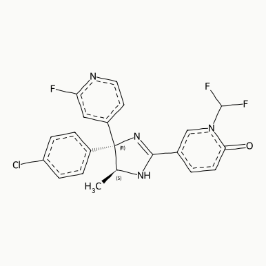 C[C@@H]1NC(c2ccc(=O)n(C(F)F)c2)=N[C@]1(c1ccc(Cl)cc1)c1ccnc(F)c1